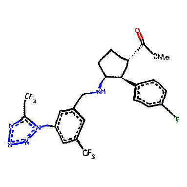 COC(=O)[C@H]1CC[C@H](NCc2cc(-n3nnnc3C(F)(F)F)cc(C(F)(F)F)c2)[C@@H]1c1ccc(F)cc1